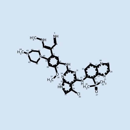 CN/C=C(\C=N)c1cc(Nc2nc(Nc3ccc4nccnc4c3P(C)(C)=O)c3c(Cl)c[nH]c3n2)c(OC)cc1N1CCN(C)CC1